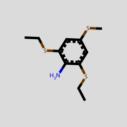 CCSc1cc(SC)cc(SCC)c1N